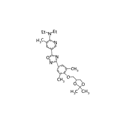 CCN(CC)c1ncc(-c2nc(-c3cc(C)c(OCC4COC(C)(C)O4)c(C)c3)no2)cc1C